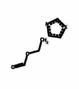 CCOC=O.c1cscn1